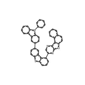 c1ccc(-n2c3ccccc3c3cc(-c4ccc5sc6cccc(-c7cnc8c(n7)oc7ccc9ccccc9c78)c6c5c4)ccc32)cc1